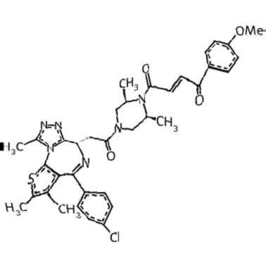 COc1ccc(C(=O)/C=C/C(=O)N2[C@H](C)CN(C(=O)C[C@@H]3N=C(c4ccc(Cl)cc4)c4c(sc(C)c4C)-n4c(C)nnc43)C[C@@H]2C)cc1